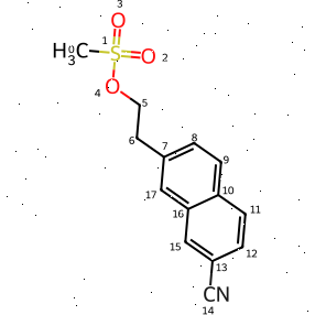 CS(=O)(=O)OCCc1ccc2ccc(C#N)cc2c1